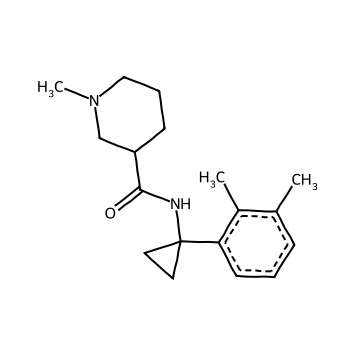 Cc1cccc(C2(NC(=O)C3CCCN(C)C3)CC2)c1C